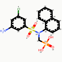 Nc1cc(Cl)cc(S(=O)(=O)N(CP(=O)(O)O)c2cccc3ccccc23)c1